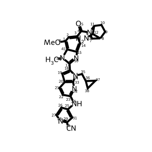 COc1cc(C(=O)N2CC3CCC2C3N)cc2nc(-c3cc4ccc(Nc5ccnc(C#N)c5)nc4n3CC3CC3)n(C)c12